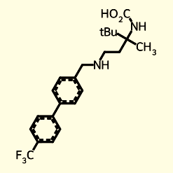 CC(C)(C)C(C)(CCNCc1ccc(-c2ccc(C(F)(F)F)cc2)cc1)NC(=O)O